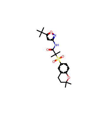 CC1(C)CCc2cc(S(=O)(=O)C(C)(C)C(=O)Nc3cc(C(C)(C)C)on3)ccc2O1